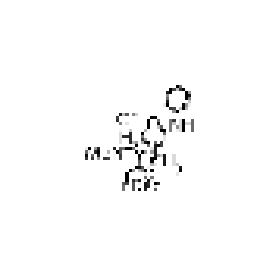 CCCCCCCCCCCC(=O)C(CNC)[N+](C)(C)CC(=O)Nc1ccccc1.[Cl-]